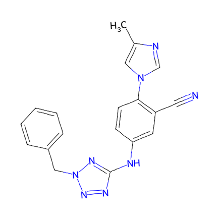 Cc1cn(-c2ccc(Nc3nnn(Cc4ccccc4)n3)cc2C#N)cn1